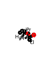 C=CCC1(Cc2ccccc2)/C(=C\C=C\C2=[N+](CCC(C)C)c3ccc(Cl)cc3C2(Cc2ccccc2)Cc2ccccc2)N(C(C)C)c2ccc3ccccc3c21